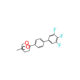 CC12CCC(c3ccc(-c4cc(F)c(F)c(F)c4)cc3)(OC1)OC2